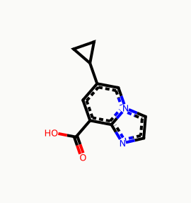 O=C(O)c1cc(C2CC2)cn2ccnc12